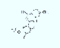 COc1cc(C(=N)OC(=N)N2CCN(C)CC2)c(F)cc1I